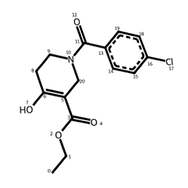 CCOC(=O)C1=C(O)CCN(C(=O)c2ccc(Cl)cc2)C1